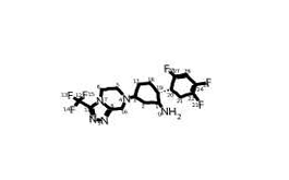 NC1CC(N2CCn3c(nnc3C(F)(F)F)C2)CC[C@@H]1C1CC(F)=C(F)C=C1F